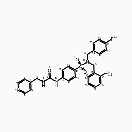 O=C(NCc1ccncc1)Nc1ccc(S(=O)(=O)N(Cc2ccc(F)cc2)Cc2ccccc2C(F)(F)F)cc1